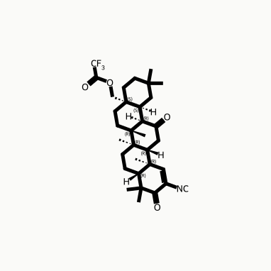 [C-]#[N+]C1=C[C@]2(C)[C@H]3CC(=O)[C@@H]4[C@@H]5CC(C)(C)CC[C@]5(COC(=O)C(F)(F)F)CC[C@@]4(C)[C@]3(C)CC[C@H]2C(C)(C)C1=O